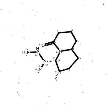 C[C@H]1CCC2CCCC(=O)N2[C@H]1P(P)PP